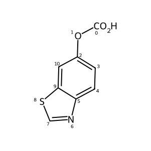 O=C(O)Oc1ccc2ncsc2c1